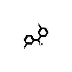 OC(c1cccc(I)c1)c1cccc(I)c1